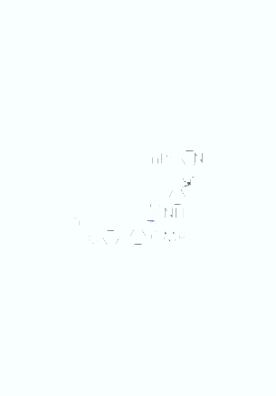 CCCc1ccncc1C[S@+]([O-])c1ccc(NC(=O)/C=C/c2cc(-c3ccc(OC4CCCOC4)cc3)ccc2OC)cc1